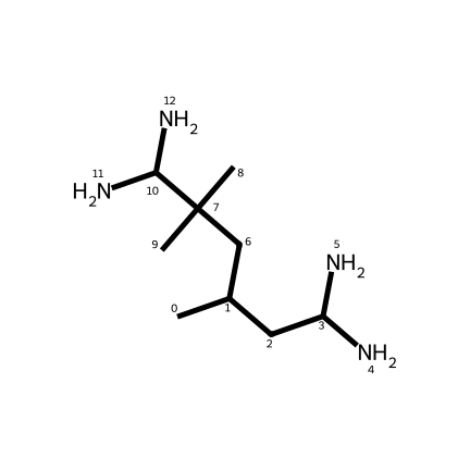 CC(CC(N)N)CC(C)(C)C(N)N